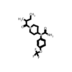 CCC(C)C(=O)N1CCC(N(C(N)=O)c2ccc(OC(F)(F)F)cc2)CC1